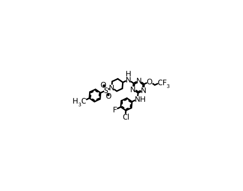 Cc1ccc(S(=O)(=O)N2CCC(Nc3nc(Nc4ccc(F)c(Cl)c4)nc(OCC(F)(F)F)n3)CC2)cc1